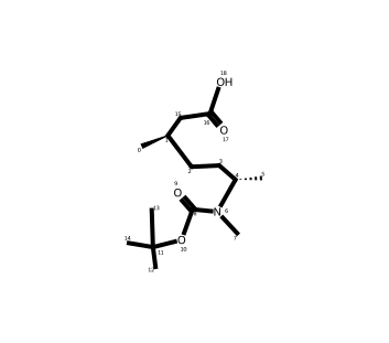 C[C@H](CC[C@H](C)N(C)C(=O)OC(C)(C)C)CC(=O)O